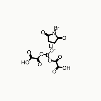 O=C(O)C(=O)OB([O-])OC(=O)C(=O)O.O=C1CCC(=O)N1Br.[Li+]